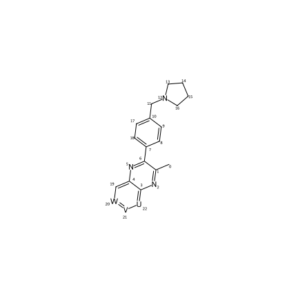 Cc1n[c]2c(nc1-c1ccc(CN3CCCC3)cc1)=[CH][W]=[V][U]=2